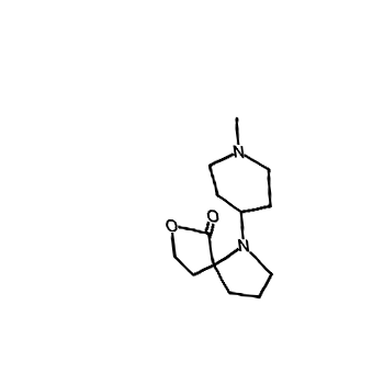 CN1CCC(N2CCCC23CCOC3=O)CC1